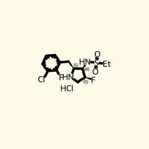 CCS(=O)(=O)N[C@@H]1[C@H](Cc2cccc(Cl)c2F)NC[C@@H]1F.Cl